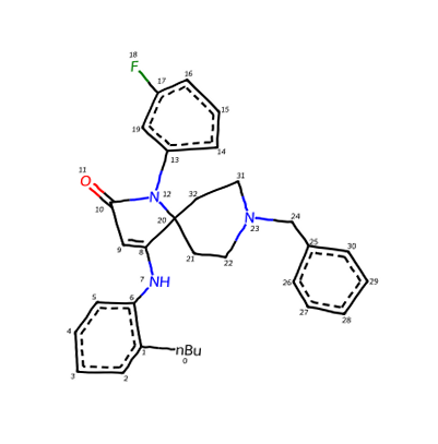 CCCCc1ccccc1NC1=CC(=O)N(c2cccc(F)c2)C12CCN(Cc1ccccc1)CC2